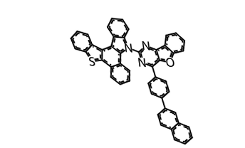 c1ccc2cc(-c3ccc(-c4nc(-n5c6ccccc6c6c7c8ccccc8sc7c7ccccc7c65)nc5c4oc4ccccc45)cc3)ccc2c1